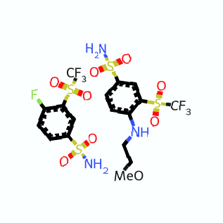 COCCNc1ccc(S(N)(=O)=O)cc1S(=O)(=O)C(F)(F)F.NS(=O)(=O)c1ccc(F)c(S(=O)(=O)C(F)(F)F)c1